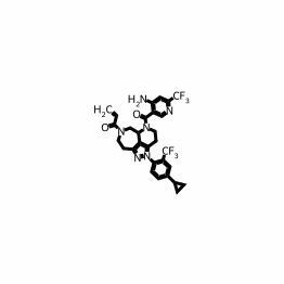 C=CC(=O)N1CCc2nn(-c3ccc(C4CC4)cc3C(F)(F)F)c3c2C(C1)N(C(=O)c1cnc(C(F)(F)F)cc1N)CC3